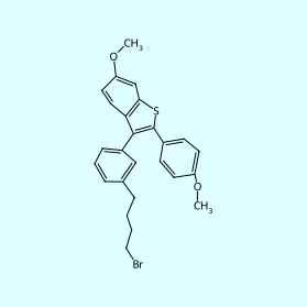 COc1ccc(-c2sc3cc(OC)ccc3c2-c2cccc(CCCCBr)c2)cc1